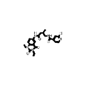 CCn1c(=O)c2cc(NC(=O)CC(C)CNC(=O)c3ccnc(Cl)c3)ccc2n(CC)c1=O